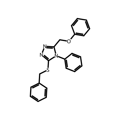 c1ccc(CSc2nnc(COc3ccccc3)n2-c2ccccc2)cc1